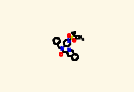 CC1(S(=O)(=O)N2CCC(N(Cc3ccccc3)C(=O)c3cc4ccccc4cn3)CC2)CC1